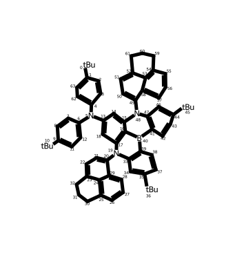 CC(C)(C)c1ccc(N(c2ccc(C(C)(C)C)cc2)c2cc3c4c(c2)N(c2ccc5c6c(cccc26)CCC5)c2cc(C(C)(C)C)ccc2B4c2ccc(C(C)(C)C)cc2N3c2ccc3c4c(cccc24)CCC3)cc1